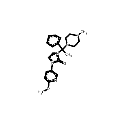 COc1ccc(-n2ccn(C(C)(c3ccccc3)N3CCN(C)CC3)c2=O)cn1